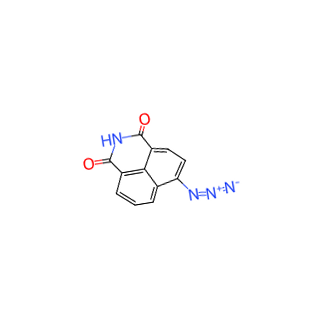 [N-]=[N+]=Nc1ccc2c3c(cccc13)C(=O)NC2=O